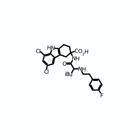 CCC(C)C(NCCc1ccc(F)cc1)C(=O)NC1(C(=O)O)CCc2[nH]c3c(Cl)cc(Cl)cc3c2C1